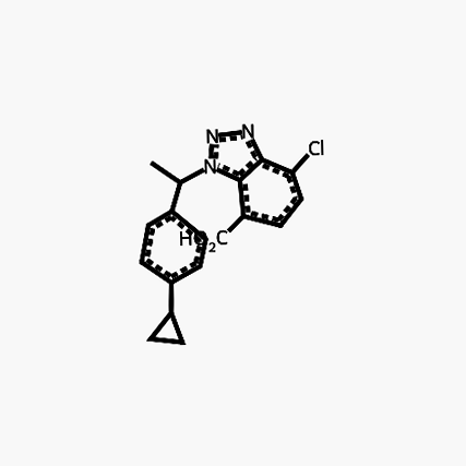 CC(c1ccc(C2CC2)cc1)n1nnc2c(Cl)ccc(C(=O)O)c21